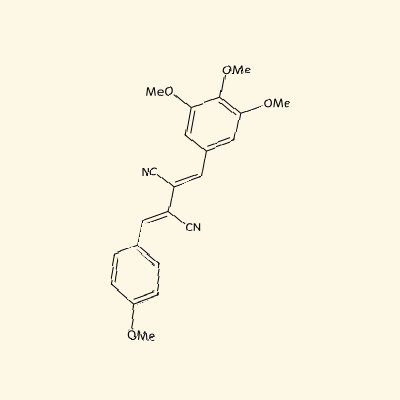 COc1ccc(/C=C(C#N)/C(C#N)=C/c2cc(OC)c(OC)c(OC)c2)cc1